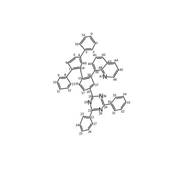 c1ccc(-c2ccc(-c3ccccc3)c(-c3ccc(-c4nc(-c5ccccc5)nc(-c5ccccc5)n4)cc3-c3cccc4cccnc34)c2)cc1